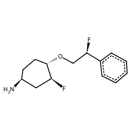 N[C@H]1CC[C@H](OC[C@@H](F)c2ccccc2)[C@@H](F)C1